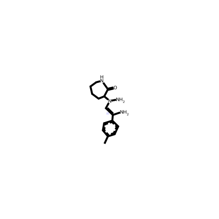 Cc1ccc(/C(N)=C/N(N)C2CCCCNC2=O)cc1